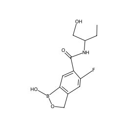 CCC(CO)NC(=O)c1cc2c(cc1F)COB2O